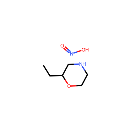 CCC1CNCCO1.O=NO